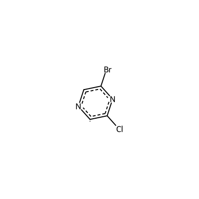 Clc1[c]ncc(Br)n1